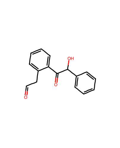 O=CCc1ccccc1C(=O)C(O)c1ccccc1